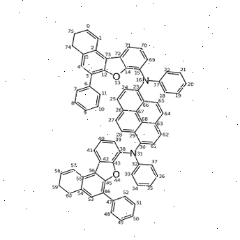 C1=Cc2c(cc(-c3ccccc3)c3oc4c(N(c5ccccc5)c5ccc6ccc7c(N(c8ccccc8)c8cccc9c8oc8c(-c%10ccccc%10)cc%10c(c89)C=CCC%10)ccc8ccc5c6c87)cccc4c23)CC1